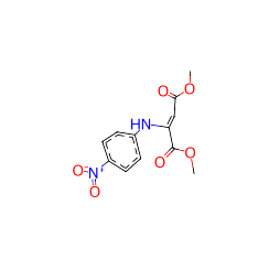 COC(=O)/C=C(\Nc1ccc([N+](=O)[O-])cc1)C(=O)OC